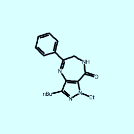 CCCCc1nn(CC)c2c1N=C(c1ccccc1)CNC2=O